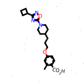 Cc1cc(OCCCC2CCN(c3nc(C4CCC4)no3)CC2)ccc1C(=O)O